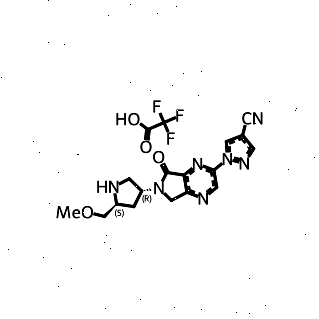 COC[C@@H]1C[C@@H](N2Cc3ncc(-n4cc(C#N)cn4)nc3C2=O)CN1.O=C(O)C(F)(F)F